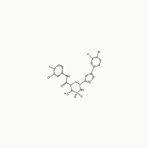 CN1C(C(=O)Nc2ccc(F)c(Cl)c2)CC(c2cc(-c3ccc(Br)c(F)c3)cs2)NS1(=O)=O